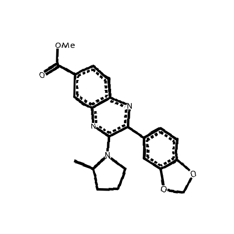 COC(=O)c1ccc2nc(-c3ccc4c(c3)OCO4)c(N3CCCC3C)nc2c1